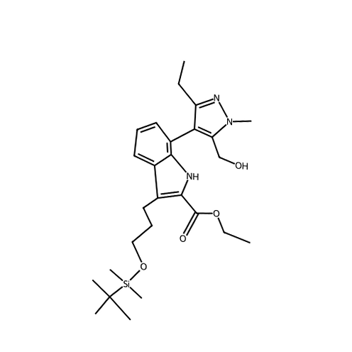 CCOC(=O)c1[nH]c2c(-c3c(CC)nn(C)c3CO)cccc2c1CCCO[Si](C)(C)C(C)(C)C